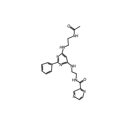 CC(=O)NCCNc1cc(NCCNC(=O)c2cnccn2)nc(-c2ccccc2)n1